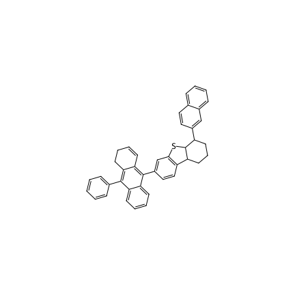 C1=Cc2c(c(-c3ccccc3)c3ccccc3c2-c2ccc3c(c2)SC2C(c4ccc5ccccc5c4)CCCC32)CC1